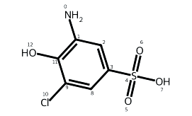 Nc1cc(S(=O)(=O)O)cc(Cl)c1O